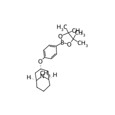 CN1[C@@H]2CCC[C@H]1C[C@H](Oc1ccc(B3OC(C)(C)C(C)(C)O3)cc1)C2